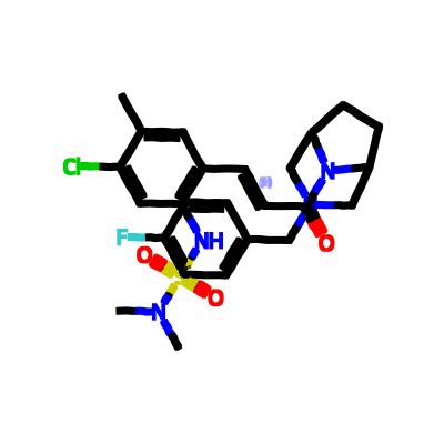 Cc1cc(/C=C/C(=O)N2C3CCC2CN(Cc2ccc(F)cc2)C3)c(NS(=O)(=O)N(C)C)cc1Cl